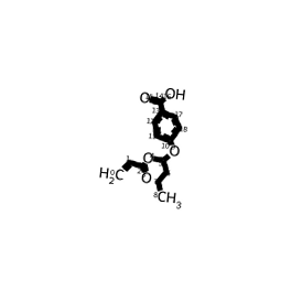 C=CC(=O)OC(CCC)Oc1ccc(C(=O)O)cc1